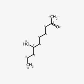 [CH2]C(=O)CCCCC(O)CCC